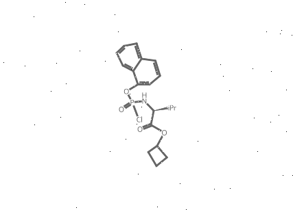 CC(C)[C@H](NP(=O)(Cl)Oc1cccc2ccccc12)C(=O)OC1CCC1